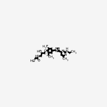 CCNc1nc(C)cc(-c2nc(-c3cc(C)c(OCC(O)CNC(=O)CO)c(CC)c3)no2)n1